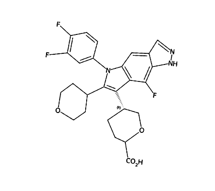 O=C(O)C1CC[C@H](c2c(C3CCOCC3)n(-c3ccc(F)c(F)c3)c3cc4cn[nH]c4c(F)c23)CO1